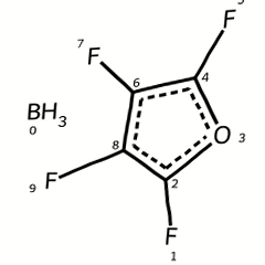 B.Fc1oc(F)c(F)c1F